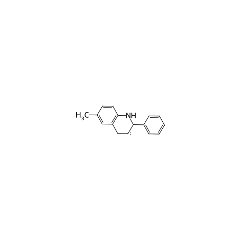 Cc1ccc2c(c1)C[C]C(c1ccccc1)N2